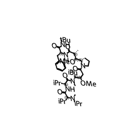 CC[C@H](C)[C@@H]([C@@H](CC(=O)N1CCC[C@H]1[C@H](OC)[C@@H](C)C(=O)N[C@@H](Cc1ccccc1)C(=O)NC(C)(C)C)OC)N(C)C(=O)[C@@H](NC(=O)[C@H](C(C)C)N(C)C(C)C)C(C)C